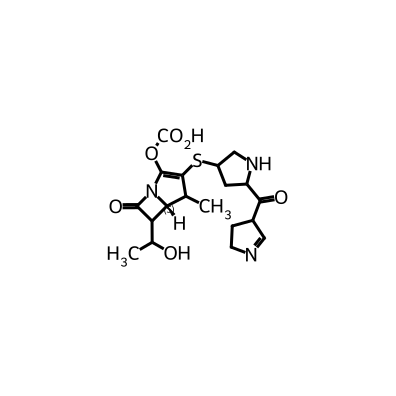 CC(O)C1C(=O)N2C(OC(=O)O)=C(SC3CNC(C(=O)C4C=NCC4)C3)C(C)[C@H]12